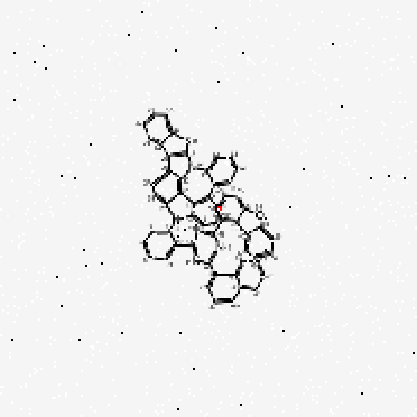 c1ccc(-n2c3cccc4c5ccccc5n5c6sc7ccccc7c6c6ccc2c(c43)c65)c(-c2nc(-c3cccc4ccccc34)nc(-c3cccc4oc5ccccc5c34)n2)c1